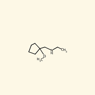 CCNCC1(OC)CCCC1